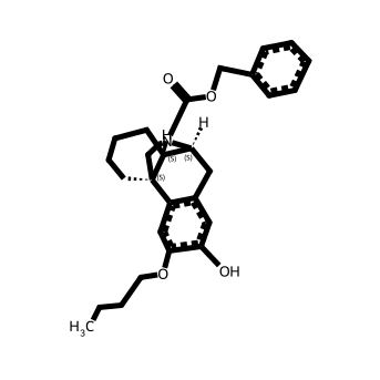 CCCCOc1cc2c(cc1O)C[C@H]1[C@H]3CCCC[C@@]23CCN1C(=O)OCc1ccccc1